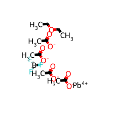 CC(=O)[O-].CC(=O)[O-].CC(=O)[O-].CC(=O)[O-].CCOCC.FB(F)F.[Pb+4]